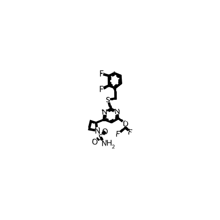 NS(=O)(=O)N1CCC1c1cc(OC(F)F)nc(SCc2cccc(F)c2F)n1